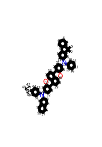 CC1(C)c2ccccc2-c2ccc(N(c3ccccc3)c3ccc4c(c3)Oc3ccc5c6c(ccc-4c36)Oc3cc(N(c4ccc([Si](C)(C)C)cc4)c4ccc6ccccc6c4)ccc3-5)cc21